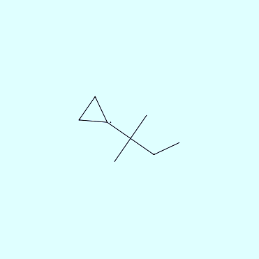 CCC(C)(C)[C]1CC1